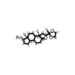 CC(=O)[C@@H]1CCC2C3CCC(=O)[C@@](C)(CCC4(C)OCCO4)C3CC[C@]21C